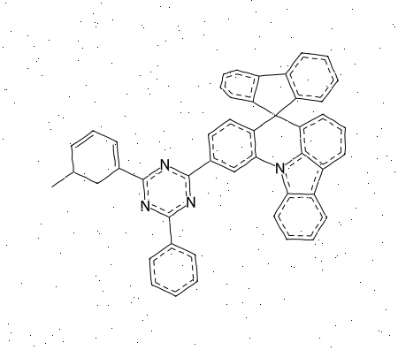 CC1C=CC=C(c2nc(-c3ccccc3)nc(-c3ccc4c(c3)-n3c5ccccc5c5cccc(c53)C43c4ccccc4-c4ccccc43)n2)C1